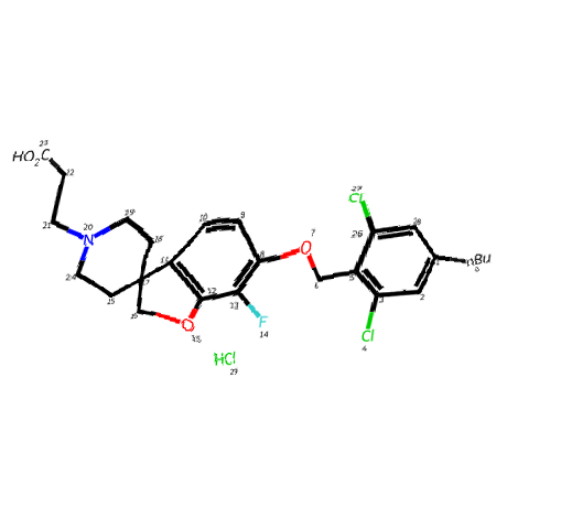 CCCCc1cc(Cl)c(COc2ccc3c(c2F)OCC32CCN(CCC(=O)O)CC2)c(Cl)c1.Cl